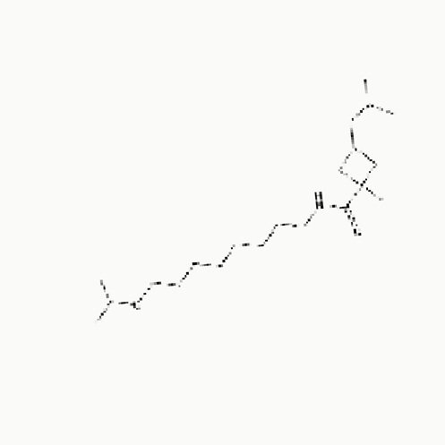 CC(C)CN1CC(C)(C(=O)NCCCCCCCCOC(C)C)C1